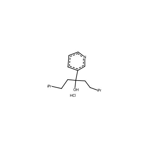 CC(C)CCC(O)(CCC(C)C)c1cccnc1.Cl